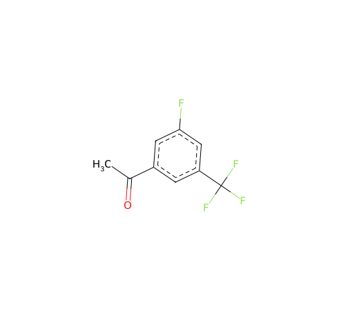 CC(=O)c1cc(F)cc(C(F)(F)F)c1